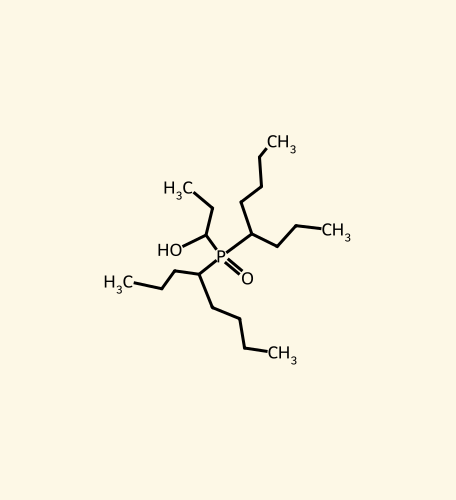 CCCCC(CCC)P(=O)(C(O)CC)C(CCC)CCCC